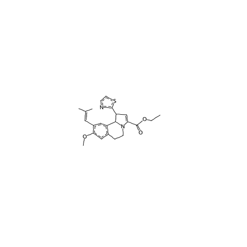 CCOC(=O)C1=CC(c2nccs2)C2c3cc(C=C(C)C)c(OC)cc3CCN12